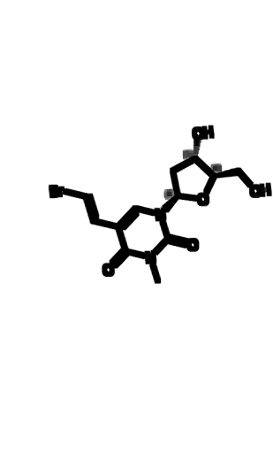 Cn1c(=O)c(C=CBr)cn([C@H]2C[C@H](O)[C@@H](CO)O2)c1=O